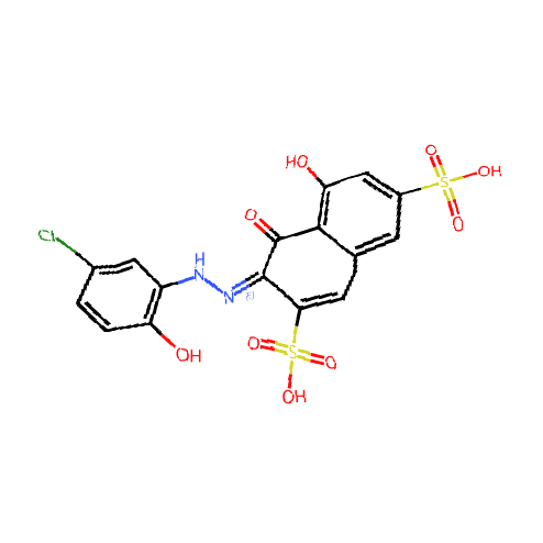 O=C1/C(=N\Nc2cc(Cl)ccc2O)C(S(=O)(=O)O)=Cc2cc(S(=O)(=O)O)cc(O)c21